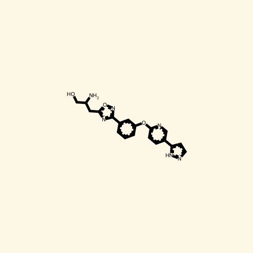 NC(CO)Cc1nc(-c2cccc(Oc3ccc(-c4ccn[nH]4)cn3)c2)no1